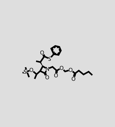 CCCCC(=O)OCOC(=O)CN1C(=O)C(C(C)O[Si](C)(C)C)[C@H]1C(C)C(=O)Sc1ccccc1